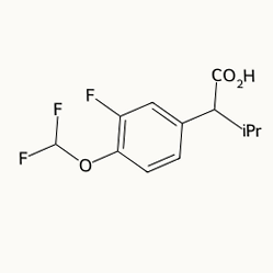 CC(C)C(C(=O)O)c1ccc(OC(F)F)c(F)c1